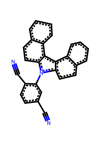 N#Cc1ccc(C#N)c(-n2c3ccc4ccccc4c3c3c4ccccc4ccc32)c1